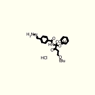 CC(C)(C)OCCC(=O)C(NC(=O)c1ccc(C=NN)cc1)(Oc1ccccc1)C(=O)O.Cl